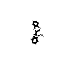 Cn1c(C2COc3ccccc3O2)nc2ccccc21